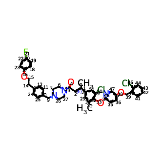 C/C(=C\C(=O)N1CCN(Cc2ccc(CCOc3ccc(F)cc3)cc2)CC1)c1cc(C)c(Oc2ccc(OCc3ccccc3Cl)cn2)c(Cl)c1